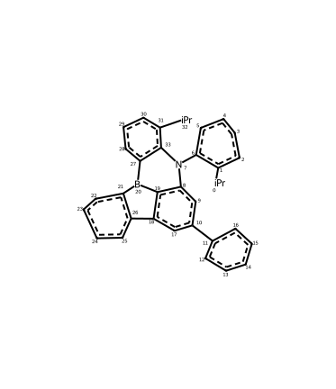 CC(C)c1ccccc1N1c2cc(-c3ccccc3)cc3c2B(c2ccccc2-3)c2cccc(C(C)C)c21